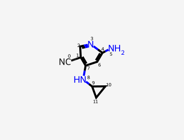 N#Cc1cnc(N)cc1NC1CC1